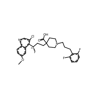 COc1ccc2ncc(Cl)c([C@H](F)CCC3(C(=O)O)CCN(CCCc4c(F)cccc4F)CC3)c2c1